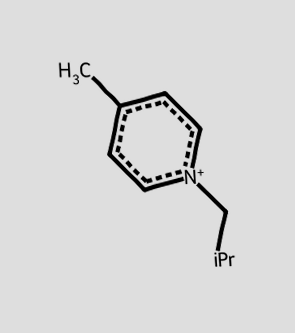 Cc1cc[n+](CC(C)C)cc1